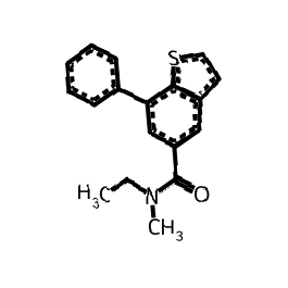 CCN(C)C(=O)c1cc(-c2ccccc2)c2sccc2c1